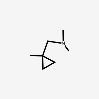 CN(C)CC1(C)CC1